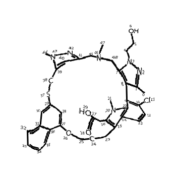 Cc1nn(CCO)c2c1-c1c(Cl)ccc3c(c(C(=O)O)n(C)c13)CCCOc1cc(cc3ccccc13)SCc1cc(nn1C)CN(C)C2